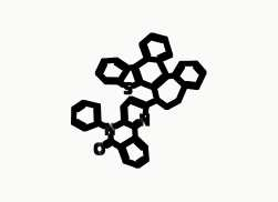 O=c1c2ccccc2c2nc(C3CCc4ccccc4-c4c3c3sc5ccccc5c3c3ccccc43)ccc2n1-c1ccccc1